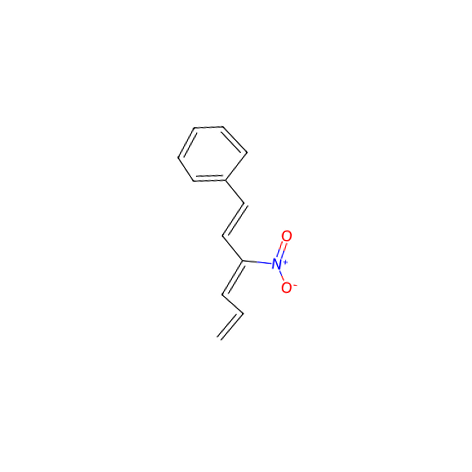 C=CC=C(C=Cc1ccccc1)[N+](=O)[O-]